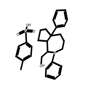 Cc1ccc(S(=O)(=O)O)cc1.OCC1C2CCCC2(c2ccccc2)CCCN1c1ccccc1